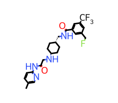 Cc1ccc(NC(=O)CN[C@H]2CC[C@@H](CNC(=O)c3cc(CF)cc(C(F)(F)F)c3)CC2)nc1